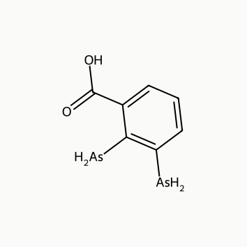 O=C(O)c1cccc([AsH2])c1[AsH2]